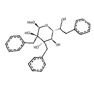 CO[C@H]1O[C@H](C(O)Cc2ccccc2)[C@@H](O)[C@@](O)(Cc2ccccc2)[C@]1(O)Cc1ccccc1